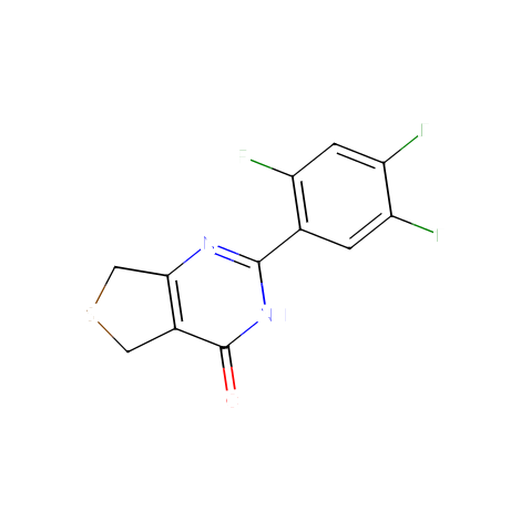 O=c1[nH]c(-c2cc(F)c(F)cc2F)nc2c1CSC2